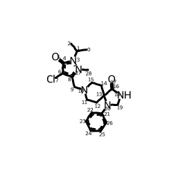 CC(C)n1c(=O)c(Cl)c(CN2CCC3(CC2)C(=O)NCN3c2ccccc2)n1C